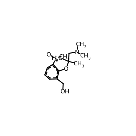 CN(C)CC(C)(C)Oc1c(CO)cccc1[S+](C)[O-]